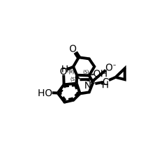 O=C1CC[C@@]2(O)[C@H]3Cc4ccc(O)c5c4[C@@]2(CC[N+]3([O-])CC2CC2)[C@H]1O5